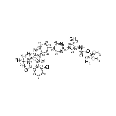 [2H]C([2H])([2H])N1C(=O)c2cccc(Cl)c2[C@H]2C[C@@H]1c1nc3ccc(-c4cnc(N5C[C@H](NC(=O)OC(C)(C)C)[C@H]5C)nc4)cc3n12